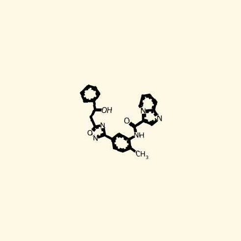 Cc1ccc(-c2noc(CC(O)c3ccccc3)n2)cc1NC(=O)c1cnc2ccccn12